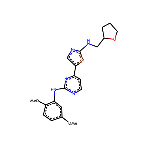 COc1ccc(OC)c(Nc2nccc(-c3cnc(NCC4CCCO4)s3)n2)c1